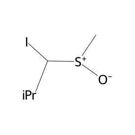 CC(C)C(I)[S+](C)[O-]